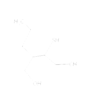 CCCC(CO)C(S)CC